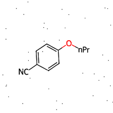 [CH2]CCOc1ccc(C#N)cc1